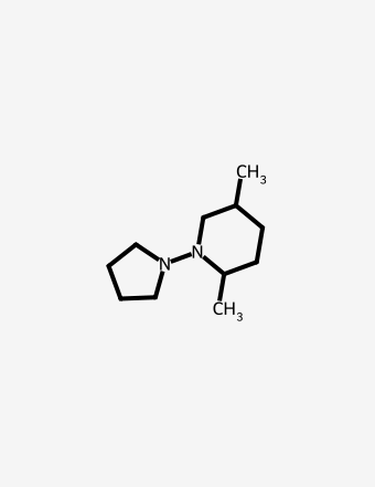 CC1CCC(C)N(N2CCCC2)C1